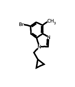 Cc1cc(Br)cc2c1ncn2CC1CC1